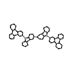 c1ccc2c(c1)c1ccccc1c1cc(-n3c4ccccc4c4cc(-c5ccc6c(c5)c5ccccc5n6-c5ccc6c7ccccc7c7ccccc7c6c5)ccc43)ccc21